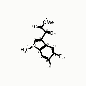 COC(=O)C(=O)c1cn(C)c2cc(I)c(F)cc12